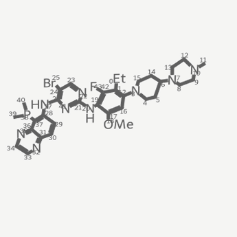 CCc1c(N2CCC(N3CCN(C)CC3)CC2)cc(OC)c(Nc2ncc(Br)c(Nc3ccc4nccnc4c3P(C)C)n2)c1F